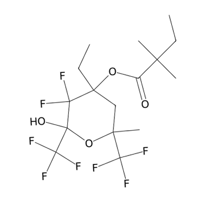 CCC(C)(C)C(=O)OC1(CC)CC(C)(C(F)(F)F)OC(O)(C(F)(F)F)C1(F)F